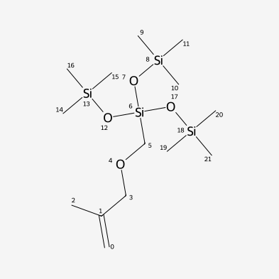 C=C(C)COC[Si](O[Si](C)(C)C)(O[Si](C)(C)C)O[Si](C)(C)C